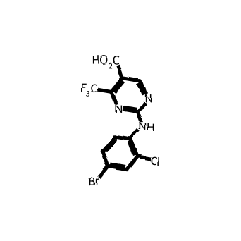 O=C(O)c1cnc(Nc2ccc(Br)cc2Cl)nc1C(F)(F)F